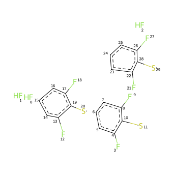 F.F.F.Fc1cccc(F)c1[S].Fc1cccc(F)c1[S].Fc1cccc(F)c1[S]